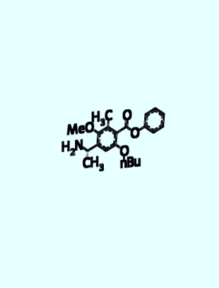 CCCCOc1cc([C@H](C)N)c(OC)c(C)c1C(=O)Oc1ccccc1